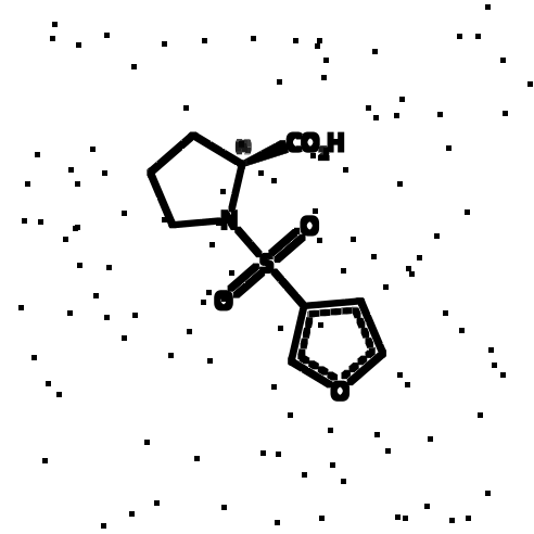 O=C(O)[C@@H]1CCCN1S(=O)(=O)c1ccoc1